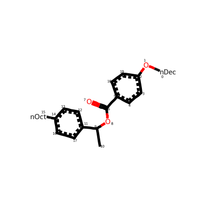 CCCCCCCCCCOc1ccc(C(=O)OC(C)c2ccc(CCCCCCCC)cc2)cc1